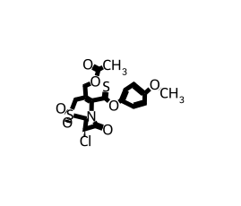 COc1ccc(OC(=S)C2=C(COC(C)=O)CS(=O)(=O)C3[C@@H](Cl)C(=O)N23)cc1